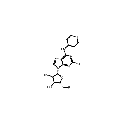 O[C@@H]1[C@H](O)[C@@H](CF)O[C@H]1n1cnc2c(NC3CCOCC3)nc(Cl)nc21